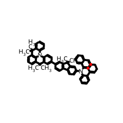 CC1(C)c2cc(-c3ccc4c(c3)C(C)(C)c3cccc5c3N4c3ccccc3C5(C)C)ccc2-c2ccc(N(c3ccccc3C3=CCCC=C3)c3cccc4ccccc34)cc21